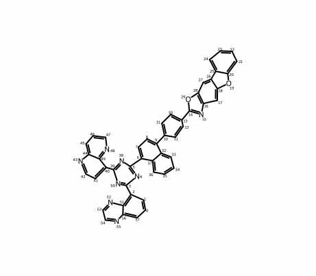 c1cc(-c2nc(-c3ccc(-c4ccc(-c5nc6cc7oc8ccccc8c7cc6o5)cc4)c4ccccc34)nc(-c3ccnc4cccnc34)n2)c2nccnc2c1